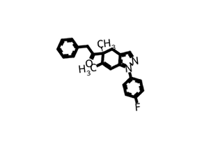 CC1=Cc2c(cnn2-c2ccc(F)cc2)C[C@]1(C)C(=O)Cc1ccccc1